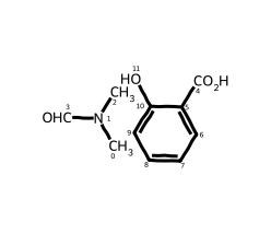 CN(C)C=O.O=C(O)c1ccccc1O